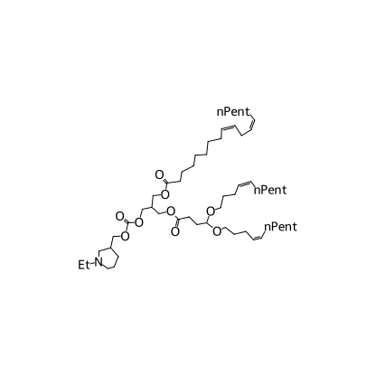 CCCCC/C=C\C/C=C\CCCCCCCC(=O)OCC(COC(=O)CCC(OCCC/C=C\CCCCC)OCCC/C=C\CCCCC)COC(=O)OCC1CCCN(CC)C1